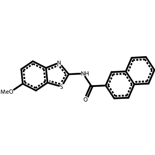 COc1ccc2nc(NC(=O)c3ccc4ccccc4c3)sc2c1